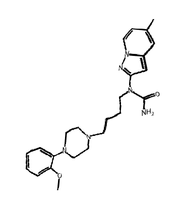 COc1ccccc1N1CCN(CCCCN(C(N)=O)c2cc3cc(C)ccn3n2)CC1